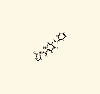 O=C(NN1CCNC1=O)c1cc(=O)c(OCc2ccccc2)c[nH]1